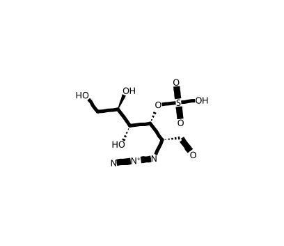 [N-]=[N+]=N[C@@H](C=O)[C@@H](OS(=O)(=O)O)[C@H](O)[C@H](O)CO